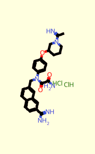 CC(=N)N1CCCC(Oc2ccc(N(Cc3ccc4ccc(C(=N)N)cc4c3)C(=O)C(N)=O)cc2)C1.Cl.Cl